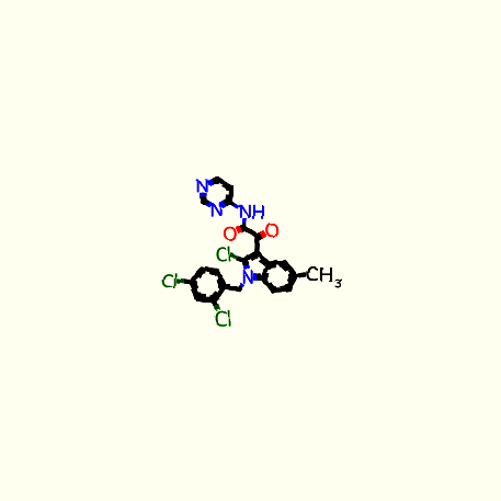 Cc1ccc2c(c1)c(C(=O)C(=O)Nc1ccncn1)c(Cl)n2Cc1ccc(Cl)cc1Cl